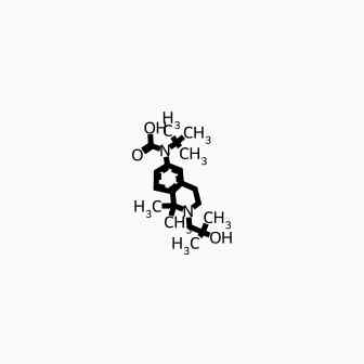 CC(C)(O)CN1CCc2cc(N(C(=O)O)C(C)(C)C)ccc2C1(C)C